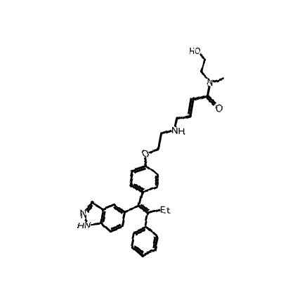 CCC(=C(c1ccc(OCCNCC=CC(=O)N(C)CCO)cc1)c1ccc2[nH]ncc2c1)c1ccccc1